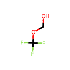 O[CH]OC(F)(F)F